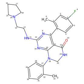 Cc1cc(F)ccc1-c1nc(NCCN2CCCC2)nc2c1C(=O)NCN2c1ccccc1C